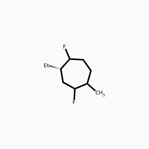 CC[C@H]1CC(F)C(C)CCC1F